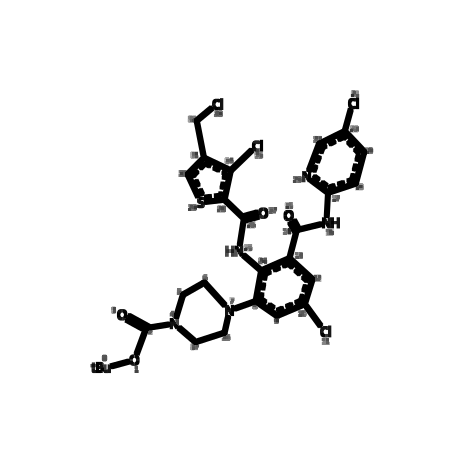 CC(C)(C)OC(=O)N1CCN(c2cc(Cl)cc(C(=O)Nc3ccc(Cl)cn3)c2NC(=O)c2scc(CCl)c2Cl)CC1